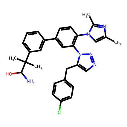 Cc1nc(C(F)(F)F)cn1-c1ccc(-c2cccc(C(C)(C)C(N)O)c2)cc1-n1nncc1Cc1ccc(Cl)cc1